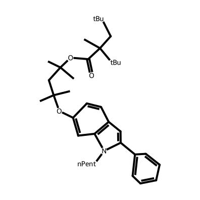 CCCCCn1c(-c2ccccc2)cc2ccc(OC(C)(C)CC(C)(C)OC(=O)C(C)(CC(C)(C)C)C(C)(C)C)cc21